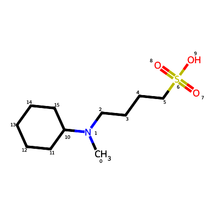 CN(CCCCS(=O)(=O)O)C1CCCCC1